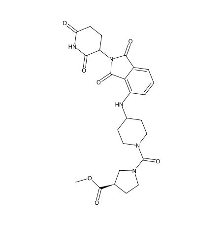 COC(=O)[C@@H]1CCN(C(=O)N2CCC(Nc3cccc4c3C(=O)N(C3CCC(=O)NC3=O)C4=O)CC2)C1